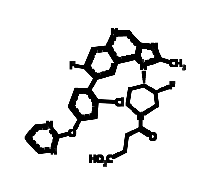 Cc1nc2cnc3cc(F)c(-c4ccc(Oc5ncccn5)cc4Cl)cc3c2n1[C@H]1CCN(C(=O)CCC(=O)O)C[C@@H]1F